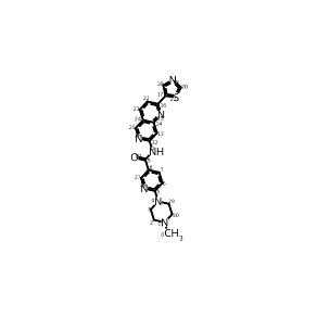 CN1CCN(c2ccc(C(=O)Nc3cc4nc(-c5cncs5)ccc4cn3)cn2)CC1